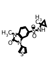 Cn1c(=O)n(-c2ccsc2)c2cc(S(=O)(=O)NC3(C)CC3)ccc21